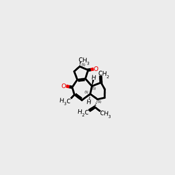 C=C1CC[C@H](C(=C)C)[C@H]2C=C(C)C(=O)C3=C(C(=O)[C@@H](C)C3)[C@H]12